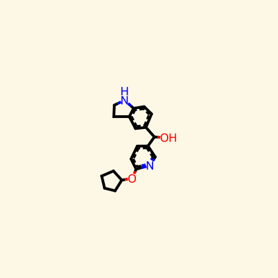 OC(c1ccc(OC2CCCC2)nc1)c1ccc2c(c1)CCN2